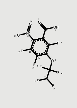 O=C(O)c1c(F)c(OC(F)(F)C(F)F)c(F)c(F)c1[N+](=O)[O-]